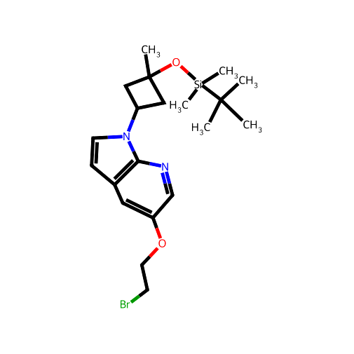 CC1(O[Si](C)(C)C(C)(C)C)CC(n2ccc3cc(OCCBr)cnc32)C1